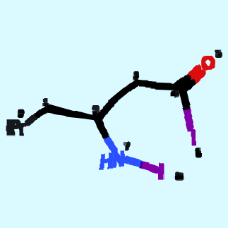 CC(C)C[C@@H](CC(=O)I)NI